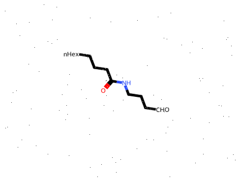 CCCCCCCCCC(=O)NCCCC=O